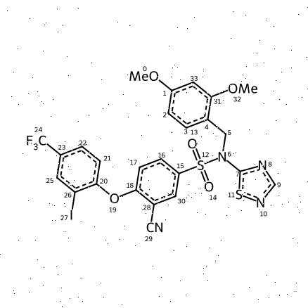 COc1ccc(CN(c2ncns2)S(=O)(=O)c2ccc(Oc3ccc(C(F)(F)F)cc3I)c(C#N)c2)c(OC)c1